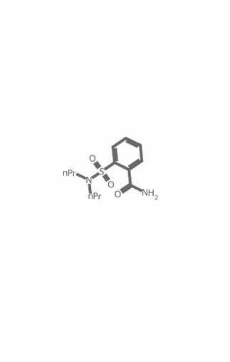 CCCN(CCC)S(=O)(=O)c1ccccc1C(N)=O